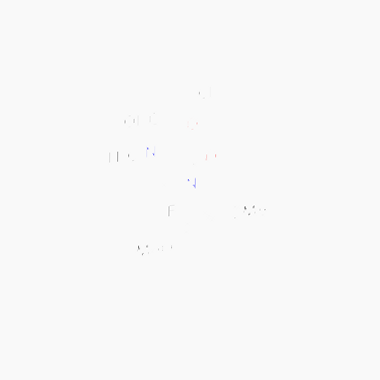 CCc1cc2c(c(OCC(F)(F)F)c(C=O)n2C)c(=O)n1Cc1cc(OC)ccc1OC